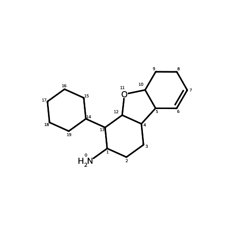 NC1CCC2C3C=CCCC3OC2C1C1CCCCC1